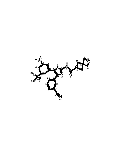 Cc1cc(-c2sc(NC(=O)N3CC4(COC4)C3)nc2-c2cccc(C#N)c2)cc(C(F)(F)F)n1